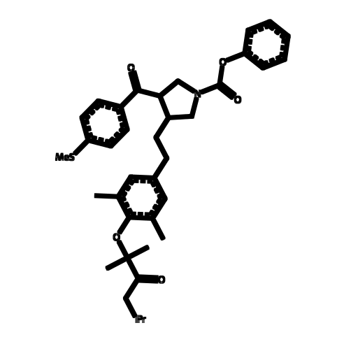 CSc1ccc(C(=O)C2CN(C(=O)Oc3ccccc3)CC2CCc2cc(C)c(OC(C)(C)C(=O)CC(C)C)c(C)c2)cc1